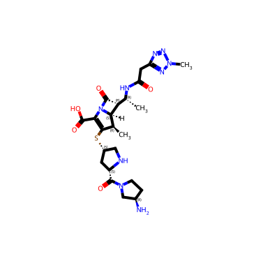 C[C@@H](NC(=O)Cc1nnn(C)n1)[C@H]1C(=O)N2C(C(=O)O)=C(S[C@@H]3CN[C@H](C(=O)N4CC[C@@H](N)C4)C3)[C@H](C)[C@H]12